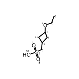 CCOC1CC(CS(=O)(=O)O)C1